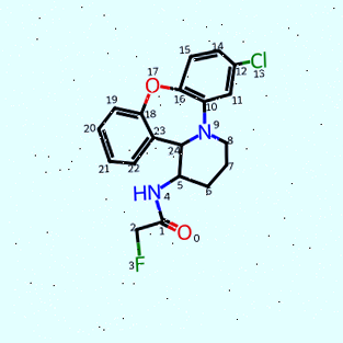 O=C(CF)NC1CCCN2c3cc(Cl)ccc3Oc3ccccc3C12